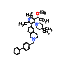 Cc1nc(C)c(C(OC(C)(C)C)C(=O)O)c(N2CCC(C)(C)CC2)c1-c1ccc2c(c1)CCN(Cc1ccc(-c3ccccc3)cc1)C2